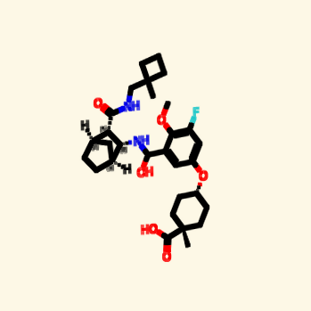 COc1c(F)cc(O[C@H]2CC[C@@](C)(C(=O)O)CC2)cc1C(O)N[C@@H]1[C@H]2CC[C@H](C2)[C@@H]1C(=O)NCC1(C)CCC1